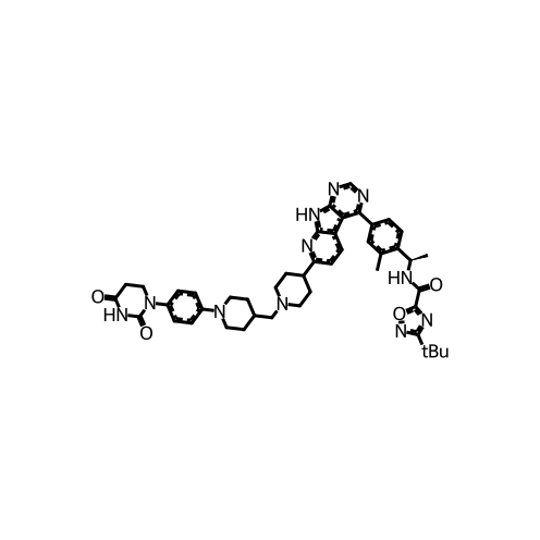 Cc1cc(-c2ncnc3[nH]c4nc(C5CCN(CC6CCN(c7ccc(N8CCC(=O)NC8=O)cc7)CC6)CC5)ccc4c23)ccc1[C@@H](C)NC(=O)c1nc(C(C)(C)C)no1